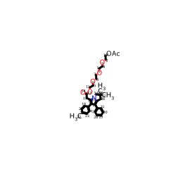 CC(=O)OCCOCCOCCOCCOC(=O)Cc1c(-c2ccc(C)cc2)c(-c2ccccc2)c2n1CC(C)(C)C2